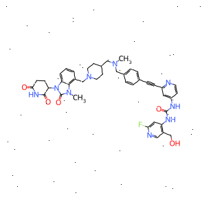 CN(Cc1ccc(C#Cc2cc(NC(=O)Nc3cc(F)ncc3CO)ccn2)cc1)CC1CCN(Cc2cccc3c2n(C)c(=O)n3C2CCC(=O)NC2=O)CC1